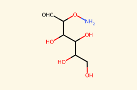 NOC(C=O)C(O)C(O)C(O)CO